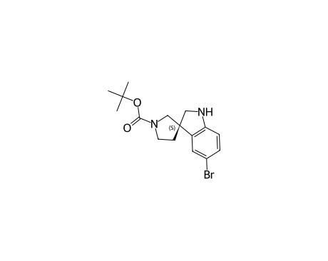 CC(C)(C)OC(=O)N1CC[C@]2(CNc3ccc(Br)cc32)C1